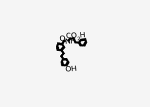 O=C(N[C@@H](CCc1ccccc1)C(=O)O)c1cccc(CCc2ccc(O)cc2)c1